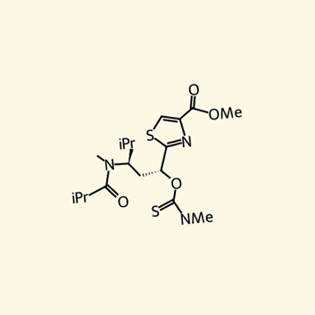 CNC(=S)O[C@H](C[C@H](C(C)C)N(C)C(=O)C(C)C)c1nc(C(=O)OC)cs1